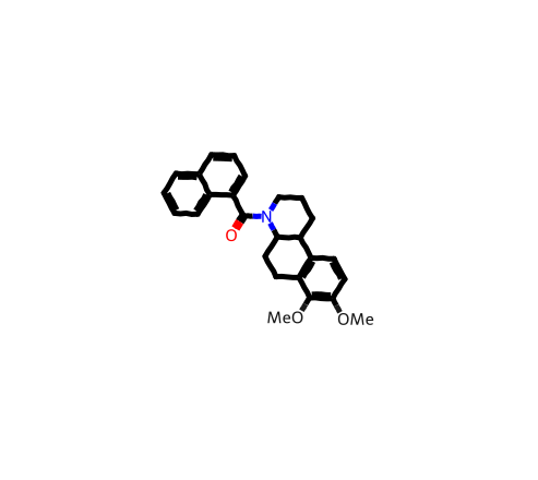 COc1ccc2c(c1OC)CCC1C2CCCN1C(=O)c1cccc2ccccc12